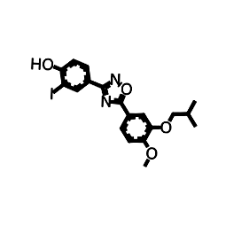 COc1ccc(-c2nc(-c3ccc(O)c(I)c3)no2)cc1OCC(C)C